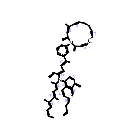 C=CC/C=C\C=C/C/C(=C\C)C(=C)/C=C\C(=C/C)N(/C(C)=C/C=C(C)/C(C)=C/C=C\C)/C(C=C)=C/C=C(\C)c1cccc(N2C(=C)/C=C\C/C=C\CC/C=C\C(C)=C/C2=C)c1